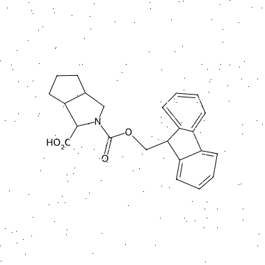 O=C(O)C1C2CCCC2CN1C(=O)OCC1c2ccccc2-c2ccccc21